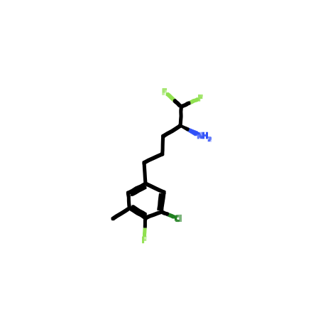 Cc1cc(CCC[C@H](N)C(F)F)cc(Cl)c1F